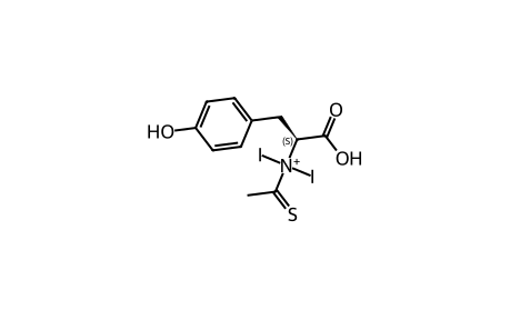 CC(=S)[N+](I)(I)[C@@H](Cc1ccc(O)cc1)C(=O)O